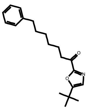 CC(C)(C)c1cnc(C(=O)CCCCCCc2ccccc2)o1